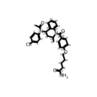 CC(=O)N(c1ccc(Cl)cc1)C1CC(C)N(C(=O)c2ccc(OCCCCC(N)=O)cc2)c2ccccc21